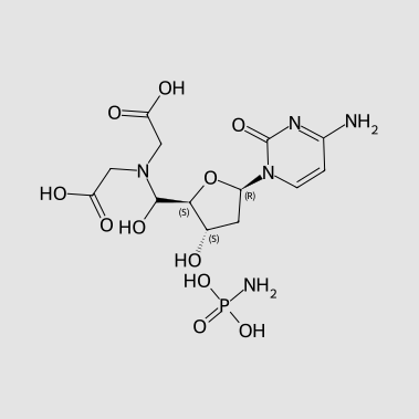 NP(=O)(O)O.Nc1ccn([C@H]2C[C@H](O)[C@@H](C(O)N(CC(=O)O)CC(=O)O)O2)c(=O)n1